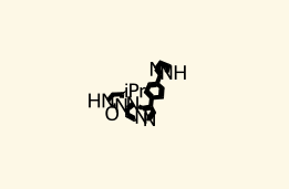 CC(C)[C@H]1CNC(=O)N1c1ccn2ncc(-c3ccc(-c4ncc[nH]4)cc3)c2n1